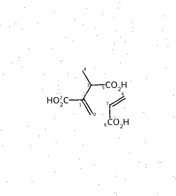 C=C(C(=O)O)C(C)C(=O)O.C=CC(=O)O